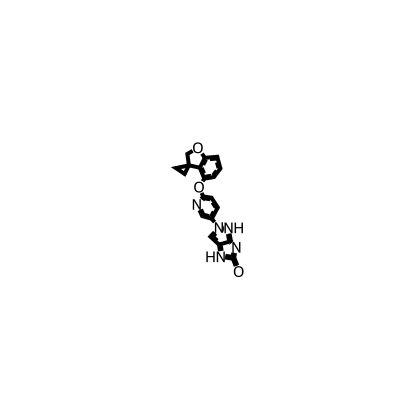 O=c1nc2[nH]n(-c3ccc(Oc4cccc5c4C4(CC4)CO5)nc3)cc-2[nH]1